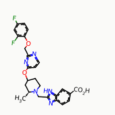 C[C@H]1CC(Oc2ccnc(COc3ccc(F)cc3F)n2)CCN1Cc1nc2ccc(C(=O)O)cc2[nH]1